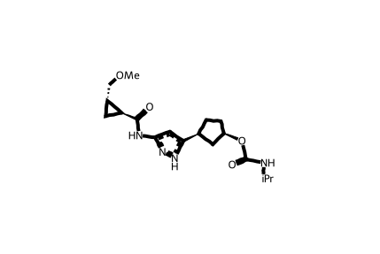 COC[C@H]1C[C@@H]1C(=O)Nc1cc([C@H]2CC[C@@H](OC(=O)NC(C)C)C2)[nH]n1